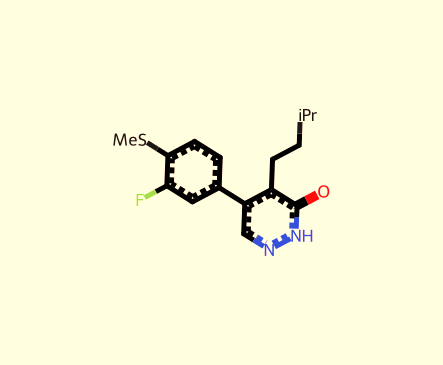 CSc1ccc(-c2cn[nH]c(=O)c2CCC(C)C)cc1F